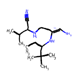 CCC(N/C(=C\N)CNC(C#N)C(C)C)C(C)(C)C